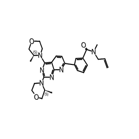 C=CCN(C)C(=O)c1cccc(-c2ccc3c(N4CCOC[C@@H]4C)nc(N4CCOC[C@@H]4C)nc3n2)c1